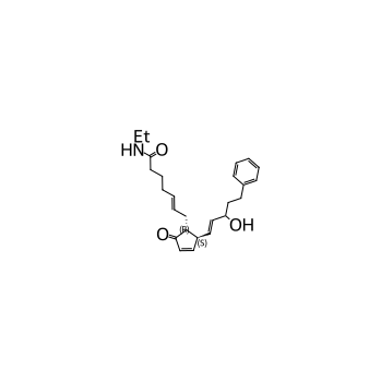 CCNC(=O)CCCC=CC[C@H]1C(=O)C=C[C@@H]1C=CC(O)CCc1ccccc1